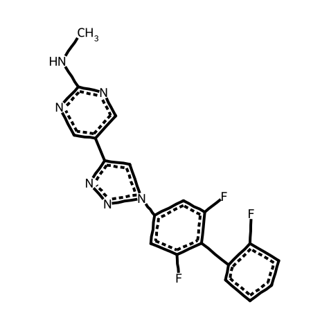 CNc1ncc(-c2cn(-c3cc(F)c(-c4ccccc4F)c(F)c3)nn2)cn1